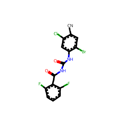 N#Cc1cc(Br)c(NC(=O)NC(=O)c2c(F)cccc2F)cc1Cl